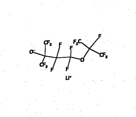 [Li+].[O-]C(C(F)(F)F)(C(F)(F)F)C(F)(F)C(F)(F)OC(F)(C(F)(F)F)C(F)(F)F